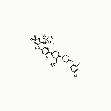 CC[C@H]1CN(c2ncc(NC3=NS(=O)(=O)N=C3NC(C)(C)C)cc2Cl)CCN1C1CCN(Cc2ccc(Cl)cc2F)CC1